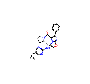 CCc1cnc(NC[C@@H]2CCCN2C(=O)c2c(-c3ccccc3)nc3occn23)nc1